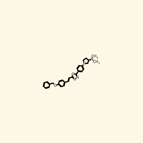 CN(C)C1CCN(c2ccc(-c3nnc(/C=C/c4ccc(OCc5ccccc5)cc4)o3)cc2)C1